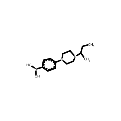 CCC(C)N1CCN(c2ccc(N(O)O)cc2)CC1